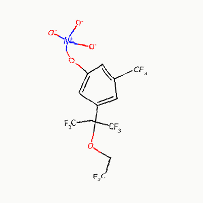 [O-][N+]([O-])([O-])Oc1cc(C(F)(F)F)cc(C(OCC(F)(F)F)(C(F)(F)F)C(F)(F)F)c1